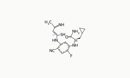 CC(=N)/C=C(\S)Nc1cc(N[C@H](CC2CC2)C(N)=O)c(F)cc1C#N